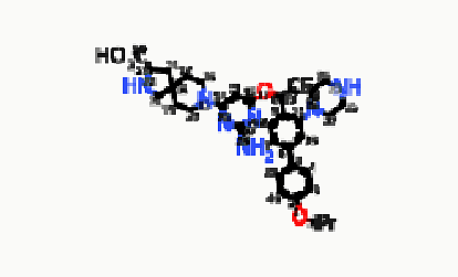 CC(C)Oc1ccc(-c2ccc([C@@H](Oc3cc(N4CCC5(CC4)CNC(C(=O)O)C5)nc(N)n3)C(F)(F)F)c(N3CCNCC3)c2)cc1